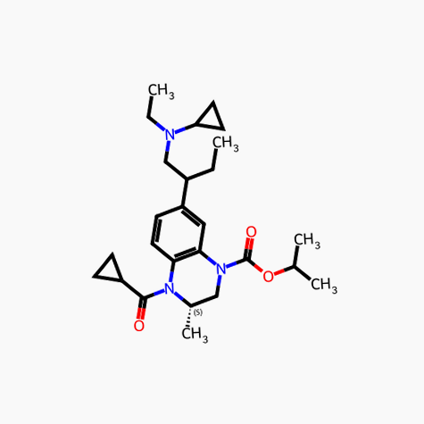 CCC(CN(CC)C1CC1)c1ccc2c(c1)N(C(=O)OC(C)C)C[C@H](C)N2C(=O)C1CC1